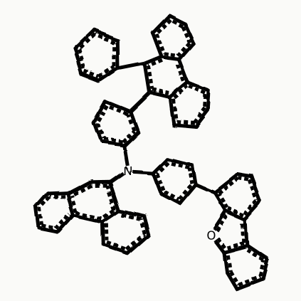 c1ccc(-c2c(-c3cccc(N(c4ccc(-c5cccc6c5oc5ccccc56)cc4)c4cc5ccccc5c5ccccc45)c3)c3ccccc3c3ccccc23)cc1